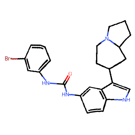 O=C(Nc1cccc(Br)c1)Nc1ccc2[nH]cc(C3CCN4CCCC4C3)c2c1